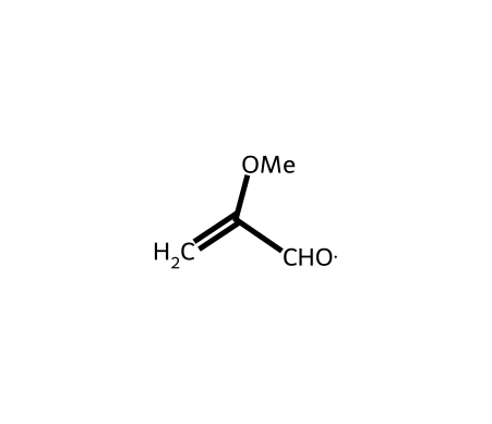 C=C([C]=O)OC